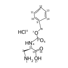 Cl.NC[C@@H](NC(=O)OCc1ccccc1)C(=O)O